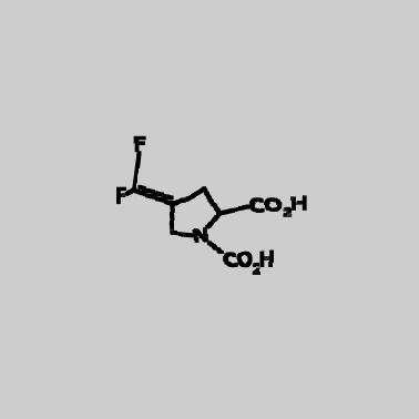 O=C(O)C1CC(=C(F)F)CN1C(=O)O